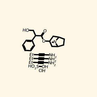 CCC#CN.CCC#CN.CCC#CN.CN1C2CCC1CC(OC(=O)C(CO)c1ccccc1)C2.Cl.O=S(=O)(O)O